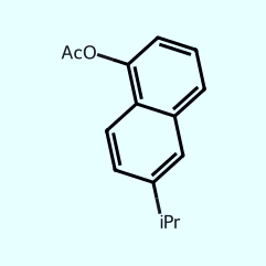 CC(=O)Oc1cccc2cc(C(C)C)ccc12